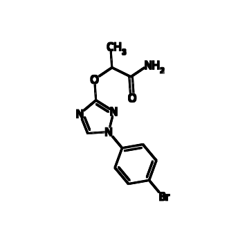 CC(Oc1ncn(-c2ccc(Br)cc2)n1)C(N)=O